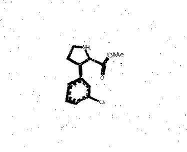 COC(=O)C1NCCC1c1cccc(Cl)c1